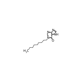 CCCCCCCCCn1cnc2nc[nH]c2c1=O